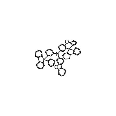 C1=CC2=C(CC1)c1ccccc1C21c2ccccc2Oc2ccc(N(c3cccc(C4(c5ccccc5)c5ccccc5-c5ccccc54)c3)c3ccc4c(c3)oc3ccccc34)cc21